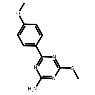 COc1ccc(-c2nc(N)nc(SC)n2)cc1